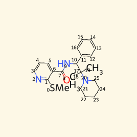 CSc1ncccc1C(=O)NC(c1ccccc1)C(C)(C)N1CCCCC1